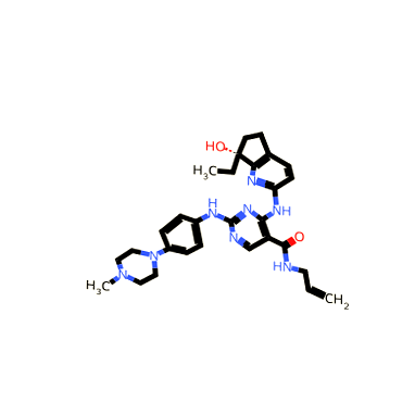 C=CCNC(=O)c1cnc(Nc2ccc(N3CCN(C)CC3)cc2)nc1Nc1ccc2c(n1)[C@@](O)(CC)CC2